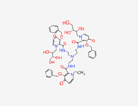 CCn1ccc(=O)c(OCc2ccccc2)c1C(=O)NCCN(CCNC(=O)c1c(OCc2ccccc2)c(=O)ccn1CC(O)C(O)CO)CCNC(=O)c1c(OCc2ccccc2)c(=O)ccn1CC(O)C(O)CO